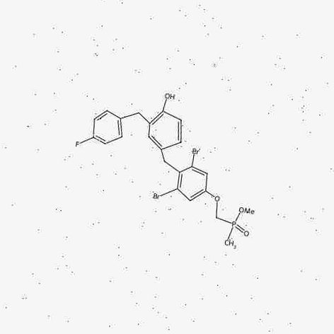 COP(C)(=O)COc1cc(Br)c(Cc2ccc(O)c(Cc3ccc(F)cc3)c2)c(Br)c1